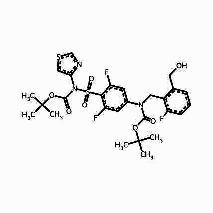 CC(C)(C)OC(=O)N(Cc1c(F)cccc1CO)c1cc(F)c(S(=O)(=O)N(C(=O)OC(C)(C)C)c2cscn2)c(F)c1